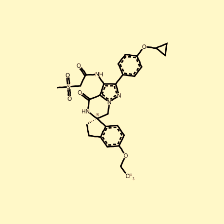 CS(=O)(=O)CC(=O)Nc1c(-c2ccc(OC3CC3)cc2)nn2c1C(=O)N[C@@]1(CCc3cc(OCC(F)(F)F)ccc31)C2